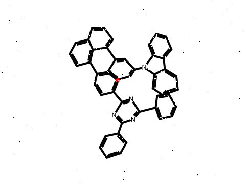 c1ccc(-c2nc(-c3ccccc3)nc(-c3ccc(-c4cccc5cccc(-c6cccc(-n7c8ccccc8c8ccccc87)c6)c45)cc3)n2)cc1